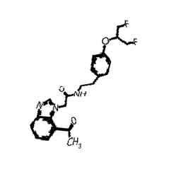 CC(=O)c1cccc2ncn(CC(=O)NCCc3ccc(OC(CF)CF)cc3)c12